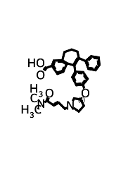 CN(C)C(=O)C=CCN1CC[C@H](Oc2ccc(C3=C(c4ccccc4)CCCc4cc(C(=O)O)ccc43)cc2)C1